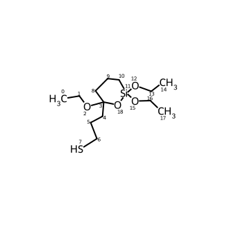 CCOC1(CCCS)CCC[Si](OCC)(OCC)O1